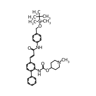 CN1CCC(OC(=O)Nc2cc(C=CC(=O)Nc3ccc(CO[Si](C)(C)C(C)(C)C)cc3)ccc2-c2ccccc2)CC1